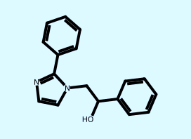 OC(Cn1ccnc1-c1ccccc1)c1ccccc1